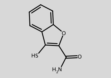 NC(=O)c1oc2ccccc2c1S